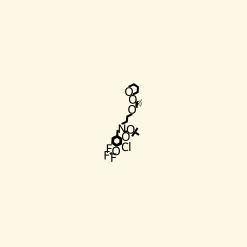 C[C@H](COCCCCN(Cc1ccc(OC(F)(F)F)c(Cl)c1)C(=O)OC(C)(C)C)OC1CCCCO1